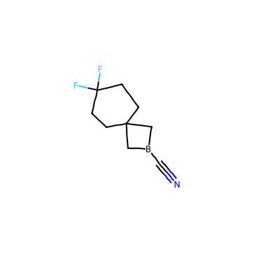 N#CB1CC2(CCC(F)(F)CC2)C1